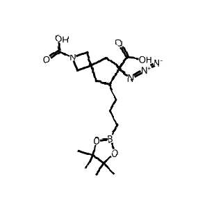 CC1(C)OB(CCCC2CC3(CN(C(=O)O)C3)CC2(N=[N+]=[N-])C(=O)O)OC1(C)C